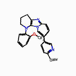 COc1ccc(-c2ccc3nc4c(n3c2)N(c2ccccc2OC(F)(F)F)CCC4)cn1